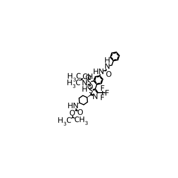 CC(C)OC(=O)N[C@H]1CC[C@H](c2nc(C(F)(F)F)c(-c3ccc(NC(=O)NCc4ccccc4)cc3S(=O)(=O)NC(C)(C)C)s2)CC1